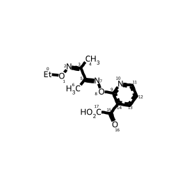 CCO/N=C(C)\C(C)=N\Oc1ncccc1C(=O)C(=O)O